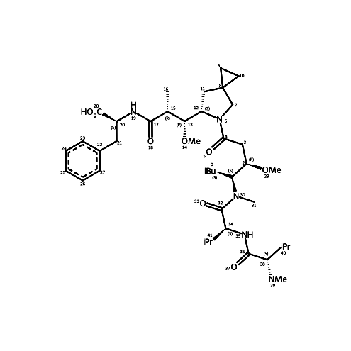 CC[C@H](C)[C@@H]([C@@H](CC(=O)N1CC2(CC2)C[C@H]1[C@H](OC)[C@@H](C)C(=O)N[C@@H](Cc1ccccc1)C(=O)O)OC)N(C)C(=O)[C@@H](NC(=O)[C@@H](NC)C(C)C)C(C)C